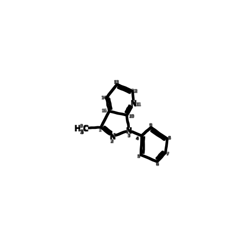 Cc1nn(-c2ccccc2)c2n[c]c[c]c12